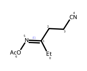 CC/C(CCC#N)=N\OC(C)=O